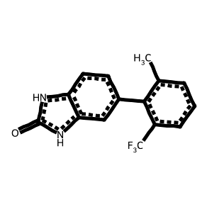 Cc1cccc(C(F)(F)F)c1-c1ccc2[nH]c(=O)[nH]c2c1